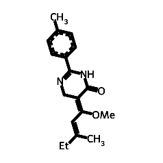 CC/C(C)=C/C(OC)=C1\CN=C(c2ccc(C)cc2)NC1=O